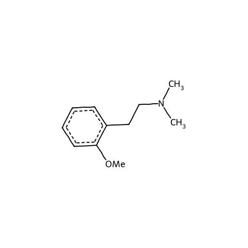 COc1ccccc1CCN(C)C